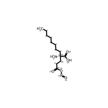 CCCCCCCC[C@](N)(CCC(=O)ON=O)C(=O)O